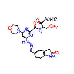 CNC(=O)C(CO)NC(=O)c1nc(NN=Cc2ccc3c(c2)CC(=O)N3)cc(N2CCOCC2)n1